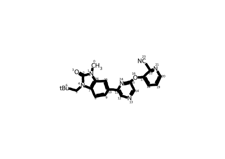 Cn1c(=O)n(CC(C)(C)C)c2ccc(-c3cncc(Oc4cccnc4C#N)n3)cc21